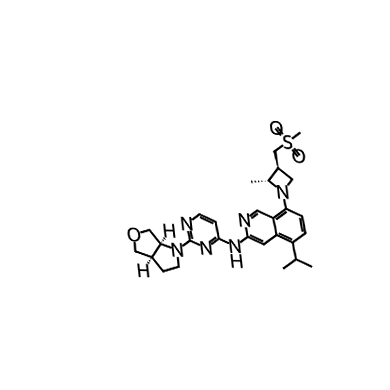 CC(C)c1ccc(N2C[C@H](CS(C)(=O)=O)[C@H]2C)c2cnc(Nc3ccnc(N4CC[C@H]5COC[C@H]54)n3)cc12